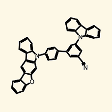 N#Cc1cc(-c2ccc(-n3c4ccccc4c4cc5c(cc43)oc3ccccc35)cc2)cc(-n2c3ccccc3c3ccccc32)c1